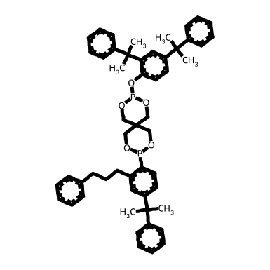 CC(C)(c1ccccc1)c1ccc(P2OCC3(COP(Oc4ccc(C(C)(C)c5ccccc5)cc4C(C)(C)c4ccccc4)OC3)CO2)c(CCCc2ccccc2)c1